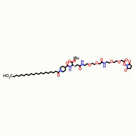 CC(C)(C)OC(=O)[C@H](CCC(=O)NCCOCCOCC(=O)NCCOCCOCC(=O)ON1C(=O)CCC1=O)NC(=O)C1CCN(C(=O)CCCCCCCCCCCCCCCCCCC(=O)O)CC1